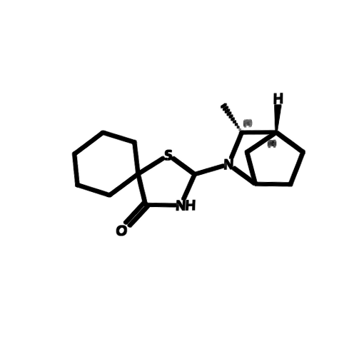 C[C@@H]1[C@@H]2CCC(C2)N1C1NC(=O)C2(CCCCC2)S1